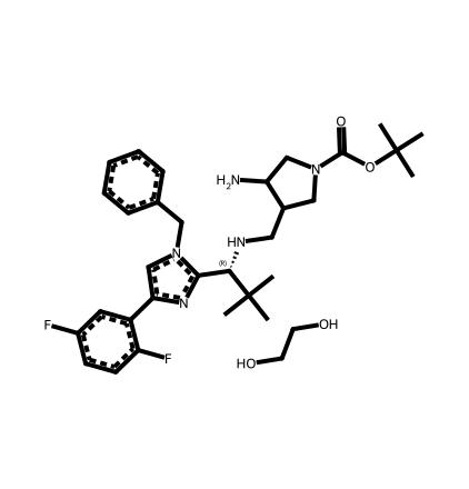 CC(C)(C)OC(=O)N1CC(N)C(CN[C@@H](c2nc(-c3cc(F)ccc3F)cn2Cc2ccccc2)C(C)(C)C)C1.OCCO